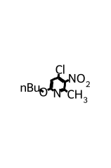 CCCCOc1cc(Cl)c([N+](=O)[O-])c(C)n1